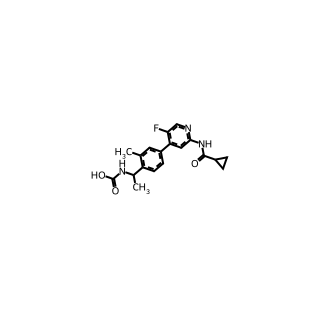 Cc1cc(-c2cc(NC(=O)C3CC3)ncc2F)ccc1C(C)NC(=O)O